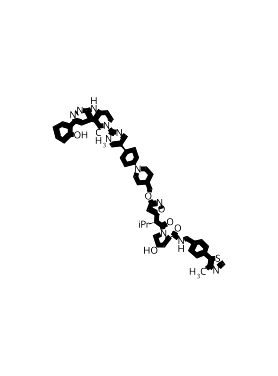 Cc1ncsc1-c1ccc(CNC(=O)[C@@H]2C[C@@H](O)CN2C(=O)[C@@H](c2cc(OCC3CCN([C@H]4CC[C@H](c5cnc(N6CCc7[nH]c8nnc(-c9ccccc9O)cc8c7[C@H]6C)nc5)CC4)CC3)no2)C(C)C)cc1